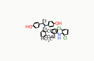 CC(=O)Oc1ccccc1C(=O)O.CC/C(=C(/CC)c1ccc(O)cc1)c1ccc(O)cc1.O=C(O)Cc1ccccc1Nc1c(Cl)cccc1Cl